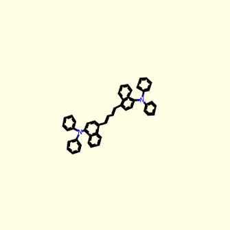 C(C=Cc1ccc(N(c2ccccc2)c2ccccc2)c2ccccc12)=Cc1ccc(N(c2ccccc2)c2ccccc2)c2ccccc12